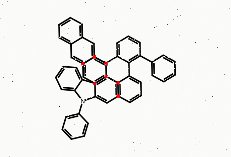 c1ccc(-c2ccccc2-c2c(-c3ccccc3)cccc2N(c2ccc3ccccc3c2)c2cccc3c2c2ccccc2n3-c2ccccc2)cc1